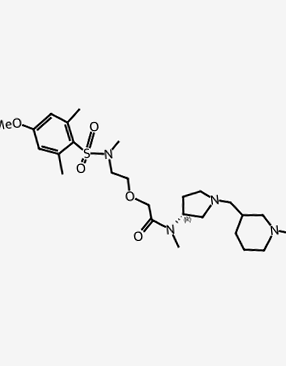 COc1cc(C)c(S(=O)(=O)N(C)CCOCC(=O)N(C)[C@@H]2CCN(CC3CCCN(C)C3)C2)c(C)c1